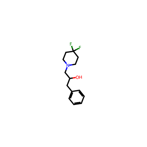 OC(Cc1ccccc1)CN1CCC(F)(F)CC1